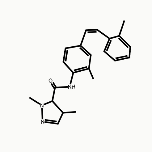 Cc1ccccc1/C=C\c1ccc(NC(=O)C2C(C)C=NN2C)c(C)c1